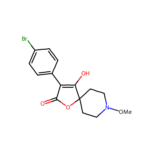 CON1CCC2(CC1)OC(=O)C(c1ccc(Br)cc1)=C2O